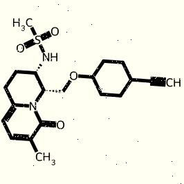 C#CC1CCC(OC[C@H]2[C@@H](NS(C)(=O)=O)CCc3ccc(C)c(=O)n32)CC1